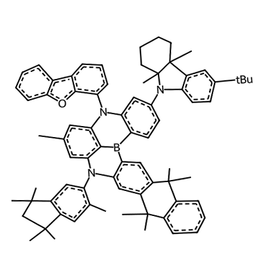 Cc1cc2c3c(c1)N(c1cccc4c1oc1ccccc14)c1cc(N4c5ccc(C(C)(C)C)cc5C5(C)CCCCC45C)ccc1B3c1cc3c(cc1N2c1cc2c(cc1C)C(C)(C)CC2(C)C)C(C)(C)c1ccccc1C3(C)C